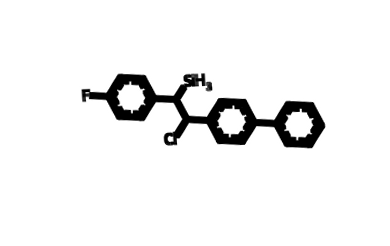 Fc1ccc(C([SiH3])C(Cl)c2ccc(-c3ccccc3)cc2)cc1